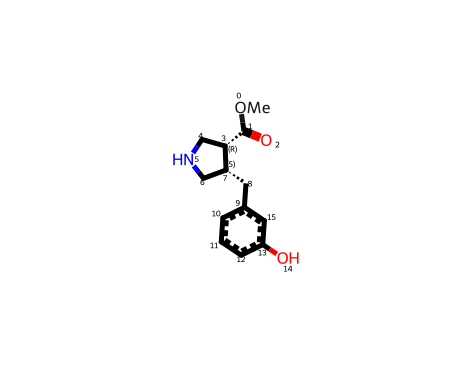 COC(=O)[C@H]1CNC[C@H]1Cc1cccc(O)c1